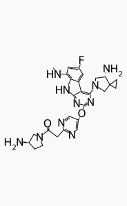 CNc1cc(F)cc2c1[nH]c1nc(Oc3cnc(CC(=O)N4CC[C@@H](N)C4)nc3)nc(N3C[C@H](N)C4(CC4)C3)c12